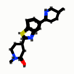 CC1CCC(c2ccc3sc(C4CCN(C)C(=O)C4)nc3c2)=NC1